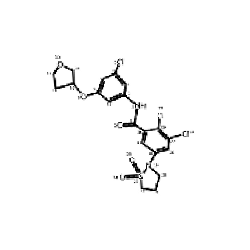 O=C(Nc1cc(Cl)cc(OC2CCOC2)c1)c1cc(N2CCCS2(=O)=O)cc(Cl)c1Cl